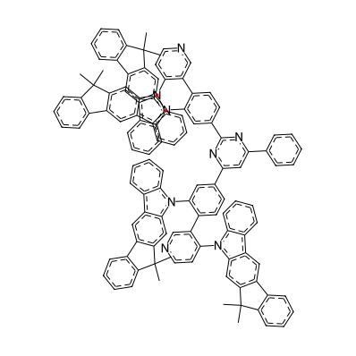 CC1(C)c2ccccc2-c2cc3c4ccccc4n(-c4ccncc4-c4ccc(-c5cc(-c6ccccc6)nc(-c6ccc(-c7cnccc7-n7c8ccccc8c8cc9c(cc87)C(C)(C)c7ccccc7-9)c(-n7c8ccccc8c8cc9c(cc87)C(C)(C)c7ccccc7-9)c6)n5)cc4-n4c5ccccc5c5cc6c(cc54)C(C)(C)c4ccccc4-6)c3cc21